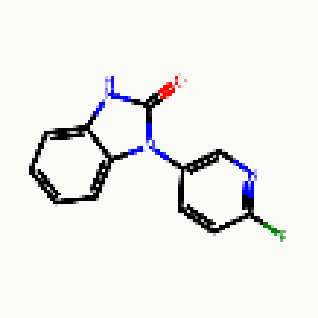 O=c1[nH]c2ccccc2n1-c1ccc(F)nc1